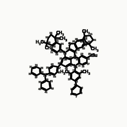 Cc1cc(-c2ccccc2)cc(C)c1N1c2ccc(C(C)(C)C)cc2B2c3c(cc(-c4ccc(N(c5ccccc5)c5ccccc5)cc4)cc31)N(c1ccc3c(c1)C(C)(C)CCC3(C)C)c1sc3cc4c(cc3c12)C1(C)CCC4(C)CC1